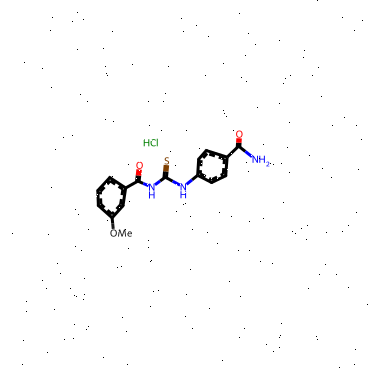 COc1cccc(C(=O)NC(=S)Nc2ccc(C(N)=O)cc2)c1.Cl